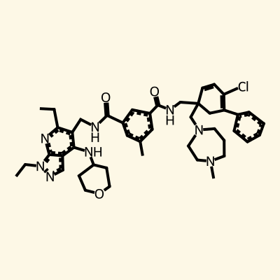 CCc1nc2c(cnn2CC)c(NC2CCOCC2)c1CNC(=O)c1cc(C)cc(C(=O)NCC2(CN3CCCN(C)CC3)C=CC(Cl)=C(c3ccccc3)C2)c1